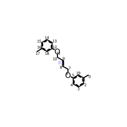 Cc1cccc(OC/C=C/COc2cccc(C)c2)c1